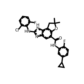 CC1(C)Cc2c(c(C(=O)Nc3cc(C4CC4)ccc3F)cc3nc(Nc4c(F)cccc4Cl)[nH]c23)O1